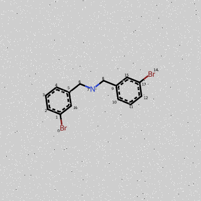 Brc1cccc(C[N]Cc2cccc(Br)c2)c1